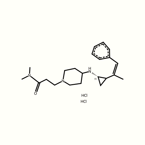 CC(=Cc1ccccc1)C1C[C@@H]1NC1CCN(CCC(=O)N(C)C)CC1.Cl.Cl